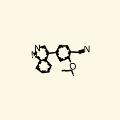 CC(C)Oc1cc(-c2cnnc3ccccc23)ccc1C#N